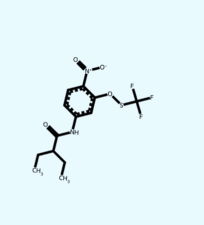 CCC(CC)C(=O)Nc1ccc([N+](=O)[O-])c(OSC(F)(F)F)c1